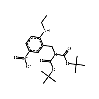 CCNc1ccc([N+](=O)[O-])cc1CN(C(=O)OC(C)(C)C)C(=O)OC(C)(C)C